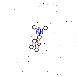 c1ccc(-c2nc(-c3ccccc3)nc(-c3ccc4oc5c6c(ccc5c4c3)-c3ccccc3C63c4ccccc4-c4ccccc43)n2)cc1